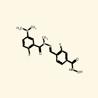 CN(N=Cc1ccc(C(=O)NO)cc1F)C(=O)c1cc(N(C)C)ccc1F